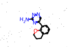 Nc1nncc(-c2cccc3c2OCCC3)n1